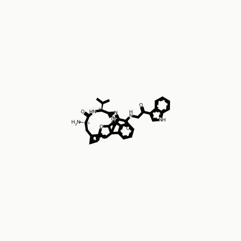 CC(C)[C@@H]1NC(=O)[C@@H](N)Cc2ccc3c(c2)C2(c4ccccc4NC2O3)c2oc1nc2C(=O)NCC(=O)c1c[nH]c2ccccc12